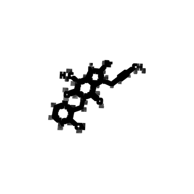 CC#CCn1c(Br)nc2c1c(=O)n(Cc1nccnc1C#N)c(=O)n2C